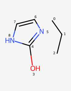 CCC.Oc1ncc[nH]1